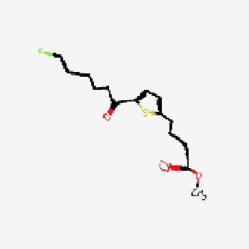 COC(=O)CCCc1ccc(C(=O)CCCCCF)s1